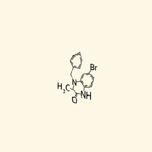 CC1C(=O)Nc2ccc(Br)cc2N1Cc1ccccc1